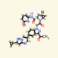 CC(=O)c1nn(CC(=O)N2C3C[C@@H]3C[C@H]2C(=O)Nc2cccc(Br)n2)c2ccc(-c3cnc4cc(C5CC5)nn4c3)cc12